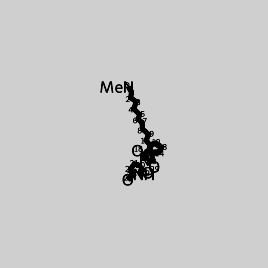 CNCCCCCCCCCCc1cccc2c1C(=O)N(C1CCC(=O)NC1=O)C2=O